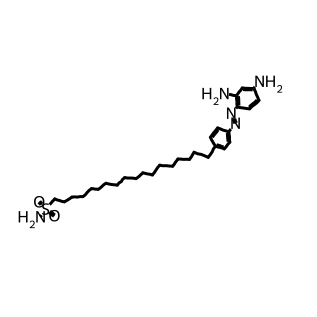 Nc1ccc(N=Nc2ccc(CCCCCCCCCCCCCCCCCCS(N)(=O)=O)cc2)c(N)c1